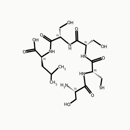 CC(C)C[C@H](NC(=O)[C@H](CO)NC(=O)[C@H](CO)NC(=O)[C@H](CS)NC(=O)[C@@H](N)CO)C(=O)O